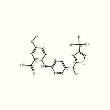 COc1ccc(Nc2ccc(N(C)c3nc(C(F)(F)F)cs3)cc2)c(C(=O)O)c1